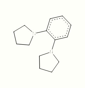 c1ccc(N2CCCC2)c(N2CCCC2)c1